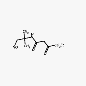 CCOC(=O)C(=O)CC(=O)NC(C)(C)CN=O